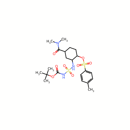 Cc1ccc(S(=O)(=O)OC2CCC(C(=O)N(C)C)CC2NS(=O)(=O)NC(=O)OC(C)(C)C)cc1